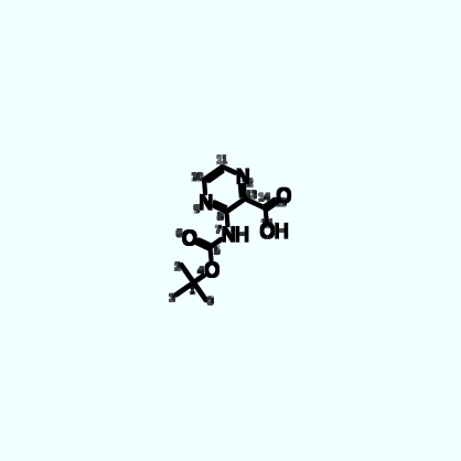 CC(C)(C)OC(=O)Nc1nccnc1C(=O)O